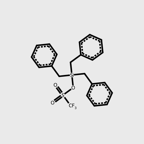 O=S(=O)(O[Si](Cc1ccccc1)(Cc1ccccc1)Cc1ccccc1)C(F)(F)F